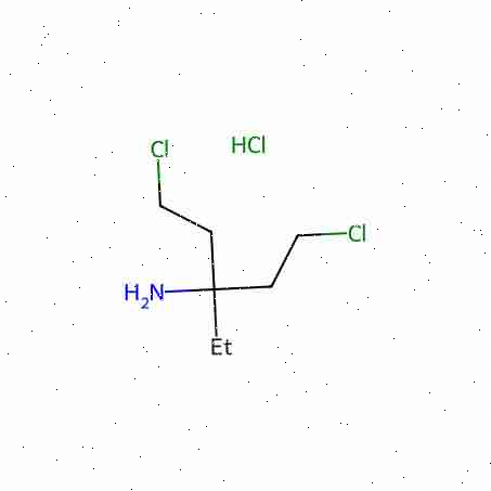 CCC(N)(CCCl)CCCl.Cl